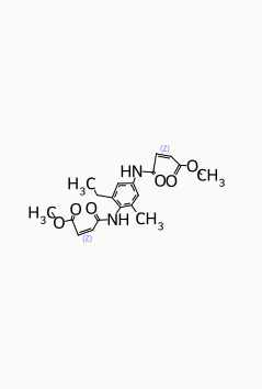 CCc1cc(NC(=O)/C=C\C(=O)OC)cc(C)c1NC(=O)/C=C\C(=O)OC